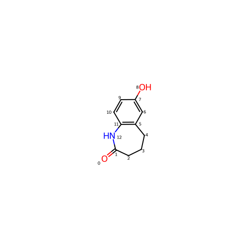 O=C1CCCc2cc(O)ccc2N1